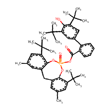 Cc1cc2c(c(C(C)(C)C)c1)OP(=O)(OC(=O)c1ccccc1-c1cc(C(C)(C)C)c(O)c(C(C)(C)C)c1)Oc1c(cc(C)cc1C(C)(C)C)C2